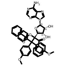 COc1ccc(C(c2ccccc2)(c2ccc(OC)cc2)C(OC(=O)c2ccccc2)(C(=O)c2ccccc2)[C@H]2O[C@@H](n3cnc4c(N)ncnc43)[C@H](O)[C@@H]2O)cc1